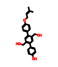 CC(C)=CCOc1ccc(-c2cc(CO)c(-c3ccc(O)cc3)cc2CO)cc1